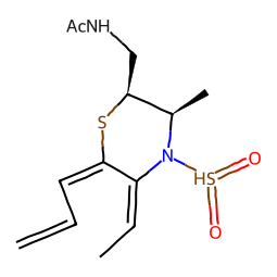 C=C/C=C1/S[C@@H](CNC(C)=O)[C@@H](C)N([SH](=O)=O)/C1=C/C